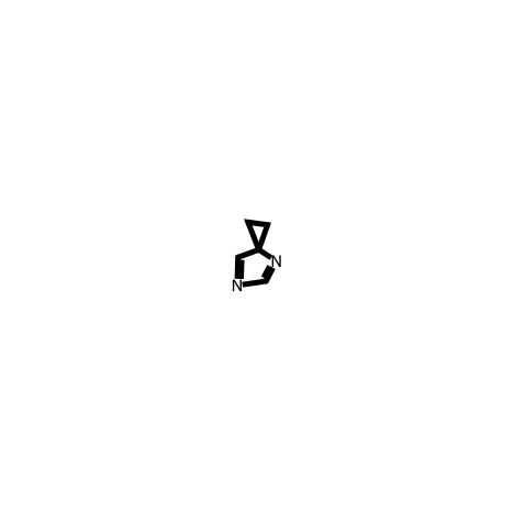 C1=NC=NC12CC2